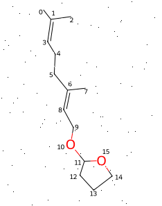 CC(C)=CCC/C(C)=C/COC1CCCO1